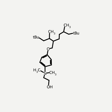 CC(CCC(COc1ccc([Si](C)(C)CCO)cc1)C(C)CC(C)(C)C)CC(C)(C)C